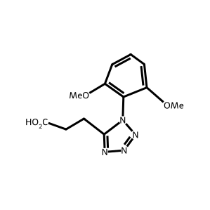 COc1cccc(OC)c1-n1nnnc1CCC(=O)O